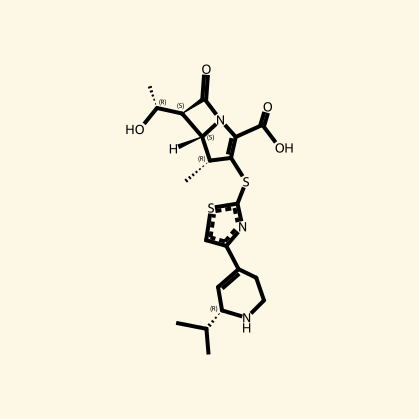 CC(C)[C@@H]1C=C(c2csc(SC3=C(C(=O)O)N4C(=O)[C@H]([C@@H](C)O)[C@H]4[C@H]3C)n2)CCN1